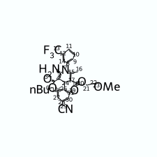 CCCCOC(=O)C1=C(N)N(c2cccc(C(F)(F)F)c2)C(C)=C(C(=O)OCCOC)C1c1ccc(C#N)cc1